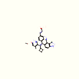 CCOc1cc(C)c(/C(=C(\c2ccc(/C=C/C(=O)O)cc2)c2ccc3c(c2C#N)C(F)NN3)C2CCC2)cn1